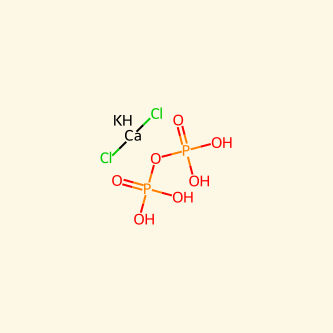 O=P(O)(O)OP(=O)(O)O.[Cl][Ca][Cl].[KH]